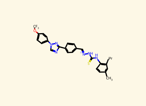 Cc1ccc(NC(=S)N/N=C/c2ccc(-c3ncn(-c4ccc(OC(F)(F)F)cc4)n3)cc2)c(C(C)C)c1